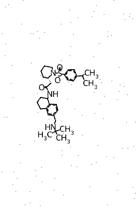 CC(C)c1ccc(S(=O)(=O)N2CCCC[C@H]2CC(=O)N[C@@H]2CCCc3cc(CNC(C)(C)C)ccc32)cc1